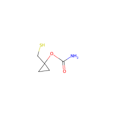 NC(=O)OC1(CS)CC1